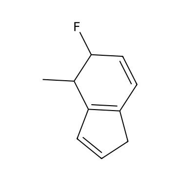 CC1C2=C(C=CC1F)CC=C2